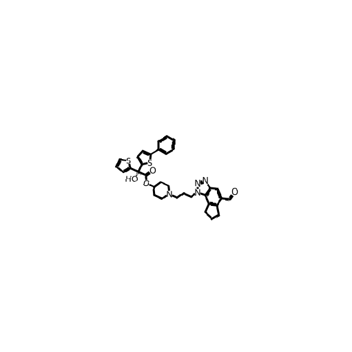 O=Cc1cc2nnn(CCCN3CCC(OC(=O)[C@@](O)(c4cccs4)c4ccc(-c5ccccc5)s4)CC3)c2c2c1CCC2